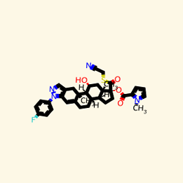 Cn1cccc1C(=O)O[C@]1(C(=O)SCC#N)CC[C@H]2[C@@H]3CCC4=Cc5c(cnn5-c5ccc(F)cc5)CC4(C)[C@H]3[C@@H](O)C[C@@]21C